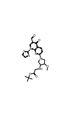 COC1CN(c2ccc3c(=O)c(C=O)cn(-c4nccs4)c3n2)CC1NCC(=O)OC(C)(C)C